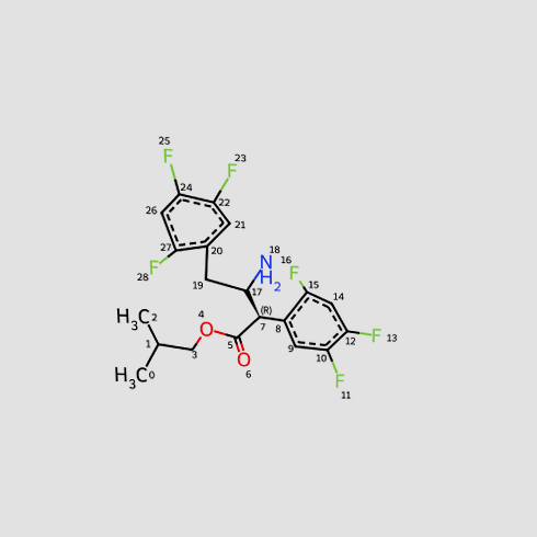 CC(C)COC(=O)[C@H](c1cc(F)c(F)cc1F)C(N)Cc1cc(F)c(F)cc1F